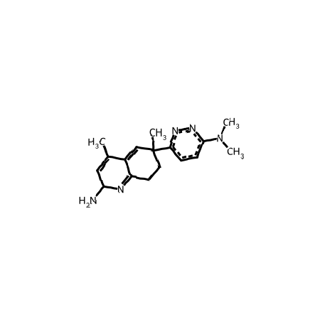 CC1=CC(N)N=C2CCC(C)(c3ccc(N(C)C)nn3)C=C12